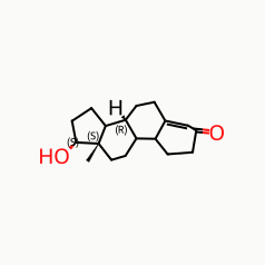 C[C@]12CCC3C4CCC(=O)C=C4CC[C@H]3C1CC[C@@H]2O